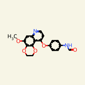 COc1cc2nccc(Oc3ccc(NC=O)cc3)c2c2c1OCCO2